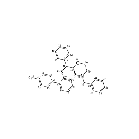 Clc1ccc(-c2cccnc2S[C@@H](c2ccccc2)[C@@H]2CN(Cc3ccccc3)CCO2)cc1